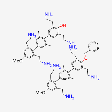 COc1cc(CCN)c(-c2cc(C)c(-c3cc(CCN)c(O)c(CCN)c3)c(C)c2)c(CCN)c1.COc1cc(CCN)c(-c2cc(C)c(-c3cc(CCN)c(OCc4ccccc4)c(CCN)c3)c(C)c2)c(CCN)c1